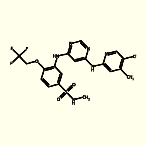 CNS(=O)(=O)c1ccc(OCC(F)(F)F)c(Nc2cc(Nc3cc(C)c(Cl)cn3)ncn2)c1